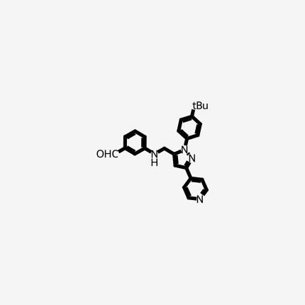 CC(C)(C)c1ccc(-n2nc(-c3ccncc3)cc2CNc2cccc(C=O)c2)cc1